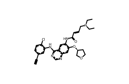 C#Cc1ccc(Cl)c(Nc2ncnc3cc(O[C@H]4CCOC4)c(NC(=O)/C=C/CN(CC)CC)cc23)c1